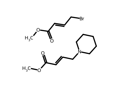 COC(=O)C=CCBr.COC(=O)C=CCN1CCCCC1